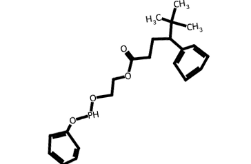 CC(C)(C)C(CCC(=O)OCCOPOc1ccccc1)c1ccccc1